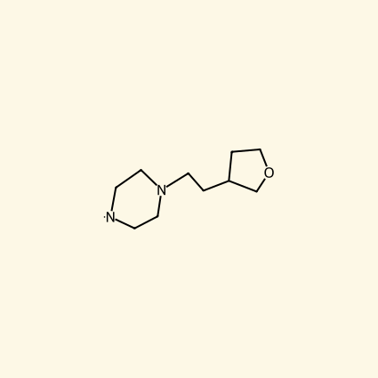 C1CN(CCC2CCOC2)CC[N]1